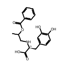 CC(CN[C@@H](Cc1ccc(O)c(O)c1)C(=O)O)OC(=O)c1ccccc1